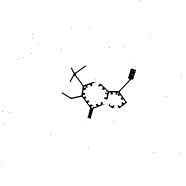 CCc1c(C(F)(F)F)[nH]c2c(C#N)cnn2c1=O